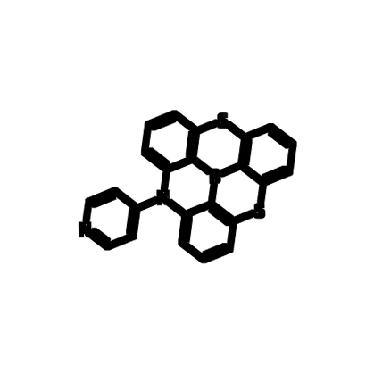 c1cc2c3c(c1)Sc1cccc4c1B3c1c(cccc1N4c1ccncc1)S2